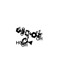 C[C@@](O)(c1ccc(N2CCN(S(=O)(=O)c3cccs3)C[C@@H]2CN2CCS(O)(O)C[C@@H]2C2CC2)cc1)C(F)(F)F